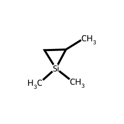 CC1C[Si]1(C)C